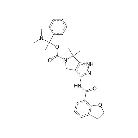 CN(C)C(C)(OC(=O)N1Cc2c(NC(=O)c3cccc4c3OCC4)n[nH]c2C1(C)C)c1ccccc1